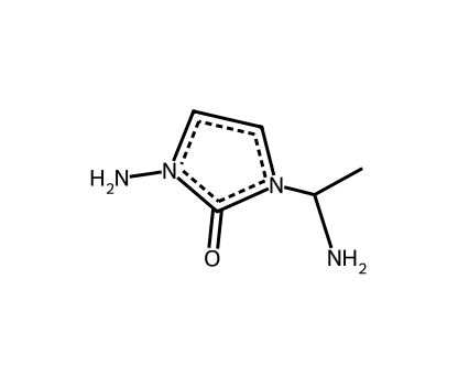 CC(N)n1ccn(N)c1=O